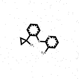 O=[N+]([O-])c1cccnc1Oc1ccccc1C1(C(F)(F)F)CC1